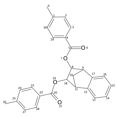 Cc1ccc(C(=O)OC2C3CC(c4ccccc43)C2OC(=O)c2ccc(C)cc2)cc1